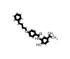 CC(C)c1ccc(O)c(NC(=O)c2ccc(OCCCCc3ccccc3)cc2)c1